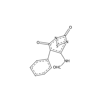 O=CNc1c(-c2ccccc2)c(=O)n2sn1c2=O